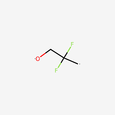 [CH2]C(F)(F)C[O]